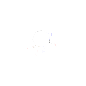 O=C1NCCCS(=O)(=O)N1